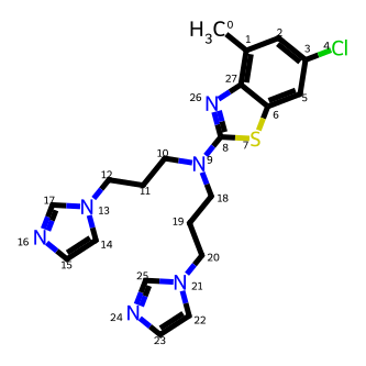 Cc1cc(Cl)cc2sc(N(CCCn3ccnc3)CCCn3ccnc3)nc12